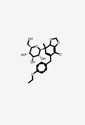 CCOc1ccc(CC2=CC(C)([C@@H]3O[C@H](CO)[C@@H](O)[C@H](O)[C@H]3O)C3OCOC3=C2Cl)cc1